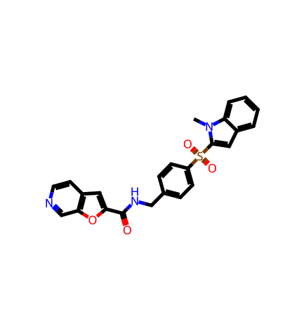 Cn1c(S(=O)(=O)c2ccc(CNC(=O)c3cc4ccncc4o3)cc2)cc2ccccc21